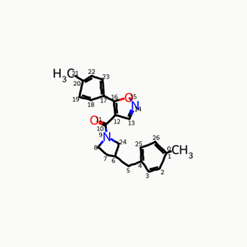 Cc1ccc(CC2CCN(C(=O)c3cnoc3-c3ccc(C)cc3)C2)cc1